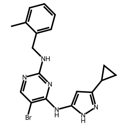 Cc1ccccc1CNc1ncc(Br)c(Nc2cc(C3CC3)n[nH]2)n1